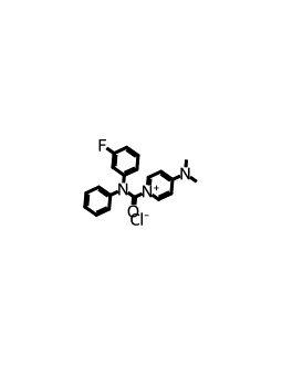 CN(C)c1cc[n+](C(=O)N(c2ccccc2)c2cccc(F)c2)cc1.[Cl-]